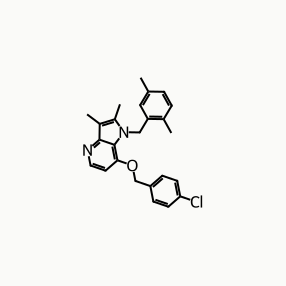 Cc1ccc(C)c(Cn2c(C)c(C)c3nccc(OCc4ccc(Cl)cc4)c32)c1